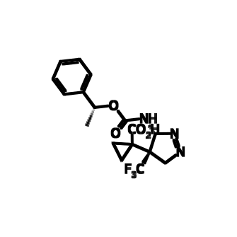 C[C@@H](OC(=O)N[C@@H]1N=NC[C@]1(C(F)(F)F)C1(C(=O)O)CC1)c1ccccc1